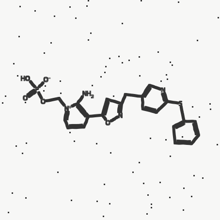 Nc1c(-c2cc(Cc3ccc(Sc4ccccc4)nc3)no2)ccc[n+]1COP(=O)([O-])O